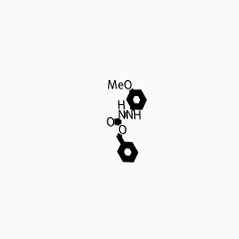 COc1cccc(NNC(=O)OCc2ccccc2)c1